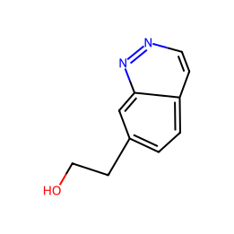 OCCc1ccc2ccnnc2c1